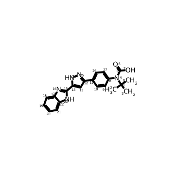 CC(C)(C)N(C(=O)O)c1ccc(-c2cc(-c3nc4ccccc4[nH]3)[nH]n2)cc1